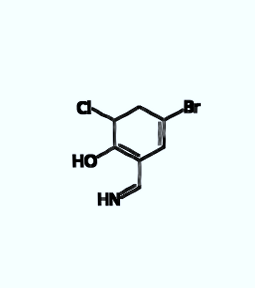 N=CC1=C(O)C(Cl)CC(Br)=C1